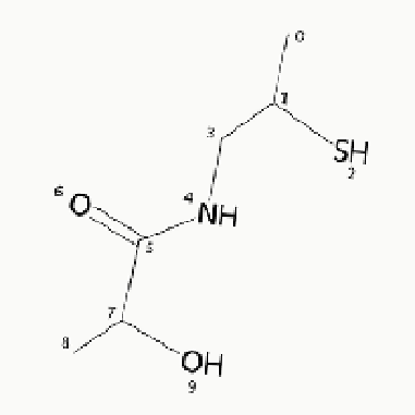 CC(S)CNC(=O)C(C)O